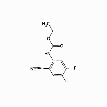 CCOC(=O)Nc1cc(F)c(F)cc1C#N